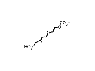 O=C(O)COCCOCCOC(=O)O